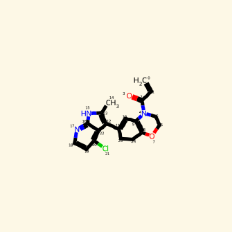 C=CC(=O)N1CCOC2=C1C=C(c1c(C)[nH]c3nccc(Cl)c13)CC2